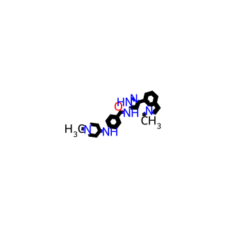 CCn1ccc2cccc(-c3cc(NC(=O)c4ccc(NC5CCN(C)CC5)cc4)[nH]n3)c21